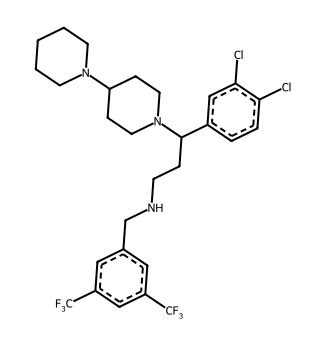 FC(F)(F)c1cc(CNCCC(c2ccc(Cl)c(Cl)c2)N2CCC(N3CCCCC3)CC2)cc(C(F)(F)F)c1